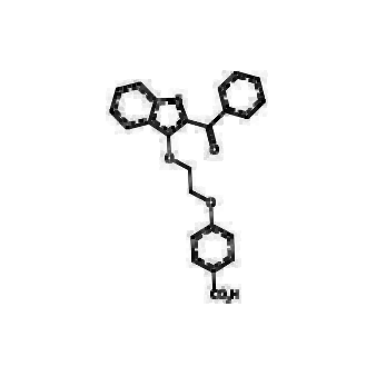 O=C(O)c1ccc(OCCOc2c(C(=O)c3ccccc3)sc3ccccc23)cc1